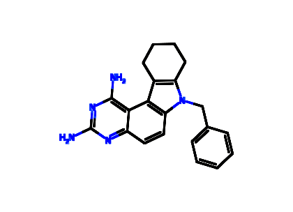 Nc1nc(N)c2c(ccc3c2c2c(n3Cc3ccccc3)CCCC2)n1